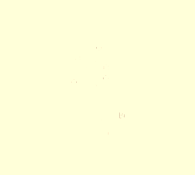 CCOC(=O)C(=O)C1OCCc2cc(OC)c(Br)cc2C1=O